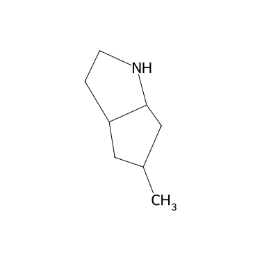 CC1CC2CCNC2C1